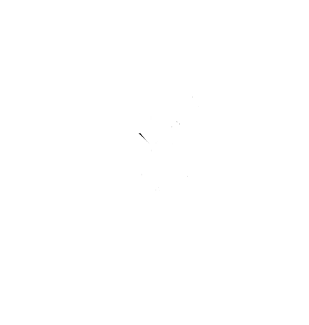 CC(O)C(=O)O[C@@H](CC(=O)O)C[N+](C)(C)C